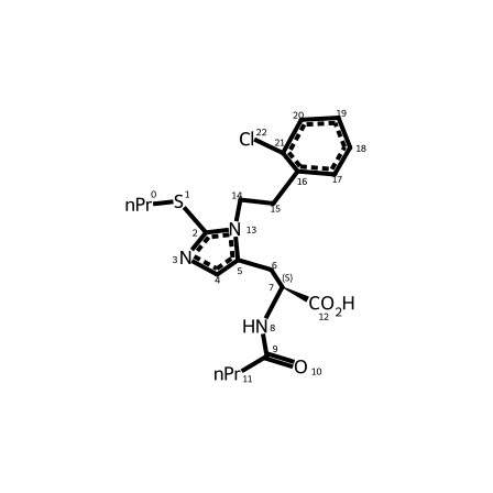 CCCSc1ncc(C[C@H](NC(=O)CCC)C(=O)O)n1CCc1ccccc1Cl